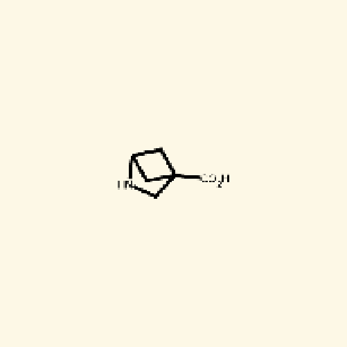 O=C(O)C12CNC(C1)C2